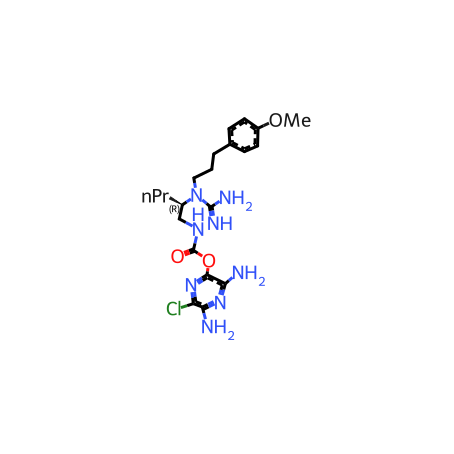 CCC[C@H](CNC(=O)Oc1nc(Cl)c(N)nc1N)N(CCCc1ccc(OC)cc1)C(=N)N